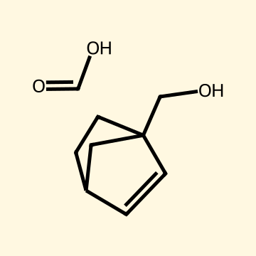 O=CO.OCC12C=CC(CC1)C2